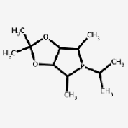 CC(C)P1C(C)C2OC(C)(C)OC2C1C